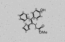 COC(=O)CCC(C1=CC=CC1)=C(c1ccccc1)c1ccc(O)cc1